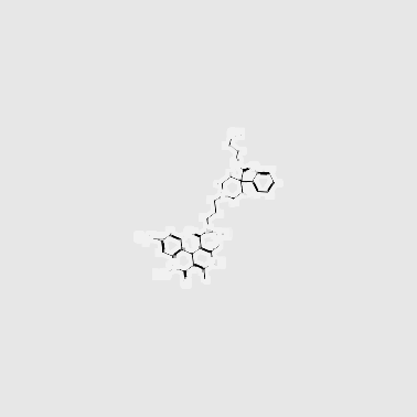 CC1=C(C(=O)NO)C(c2ccc([N+](=O)[O-])cc2)C(C(=O)N(O)CCCN2CCC(C(=O)OCCC#N)(c3ccccc3)CC2)=C(C)N1